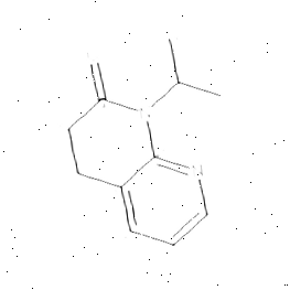 CC(C)N1C(=O)CCc2cccnc21